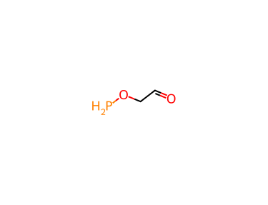 O=CCOP